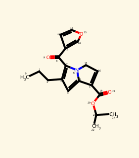 CCCc1cc2n(c1C(=O)c1ccoc1)CC=C2C(=O)OC(C)C